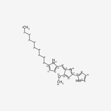 CCCCCCCCCCc1ccc(/C=C2/N=C(c3ccc[nH]3)C=C2OC)[nH]1